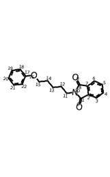 O=C1c2ccccc2C(=O)N1CCCCCOc1ccccc1